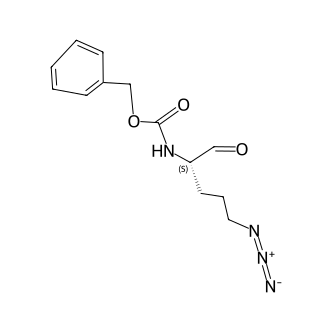 [N-]=[N+]=NCCC[C@@H](C=O)NC(=O)OCc1ccccc1